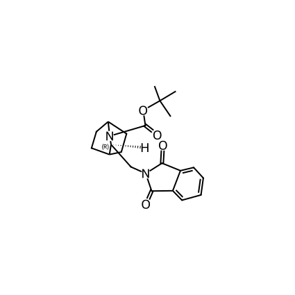 CC(C)(C)OC(=O)N1C2CCC(CC2)[C@@H]1CN1C(=O)c2ccccc2C1=O